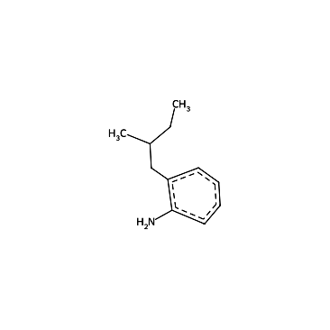 CCC(C)Cc1ccccc1N